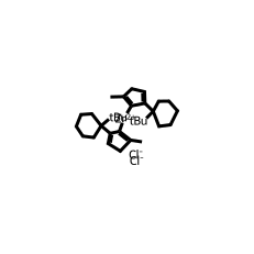 CC1=[C]([Zr+2][C]2=C(C)CC=C2C2(C(C)(C)C)CCCCC2)C(C2(C(C)(C)C)CCCCC2)=CC1.[Cl-].[Cl-]